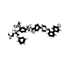 CN(C)CC[C@H](CSc1ccccc1)Nc1ccc(S(=O)(=O)Nc2noc3cc(N4CCN(Cc5ccccc5-c5ccc(Cl)cc5)CC4)ccc23)cc1[N+](=O)[O-]